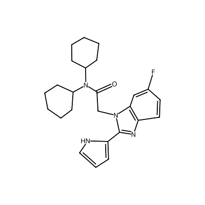 O=C(Cn1c(-c2ccc[nH]2)nc2ccc(F)cc21)N(C1CCCCC1)C1CCCCC1